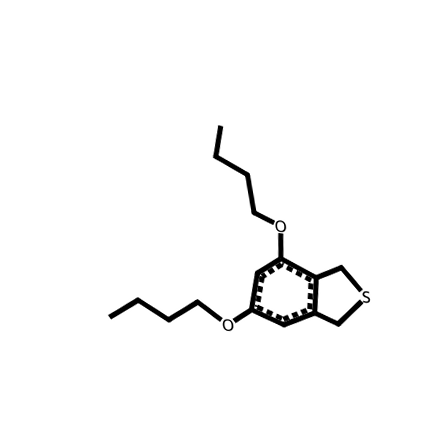 CCCCOc1cc2c(c(OCCCC)c1)CSC2